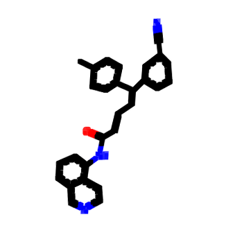 Cc1ccc(/C(=C\C=C\C(=O)Nc2cccc3cnccc23)c2cccc(C#N)c2)cc1